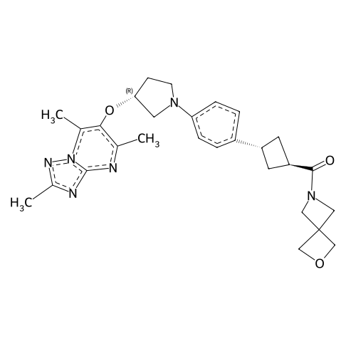 Cc1nc2nc(C)c(O[C@@H]3CCN(c4ccc([C@H]5C[C@H](C(=O)N6CC7(COC7)C6)C5)cc4)C3)c(C)n2n1